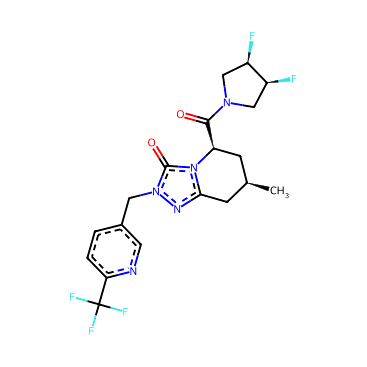 C[C@H]1Cc2nn(Cc3ccc(C(F)(F)F)nc3)c(=O)n2[C@@H](C(=O)N2C[C@@H](F)[C@@H](F)C2)C1